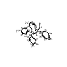 C=CC[Si](CI)(C[Si](CC=C)(c1ccc(F)cc1)c1ccc(F)cc1)c1ccc(F)cc1